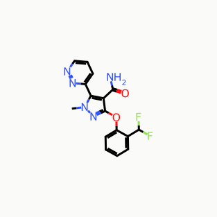 Cn1nc(Oc2ccccc2C(F)F)c(C(N)=O)c1-c1cccnn1